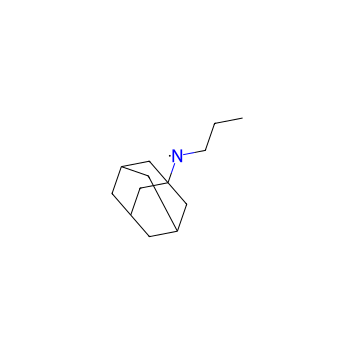 CCC[N]C12CC3CC(CC(C3)C1)C2